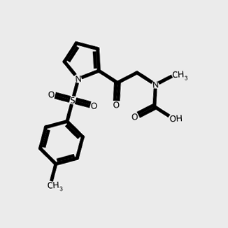 Cc1ccc(S(=O)(=O)n2cccc2C(=O)CN(C)C(=O)O)cc1